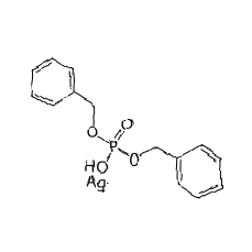 O=P(O)(OCc1ccccc1)OCc1ccccc1.[Ag]